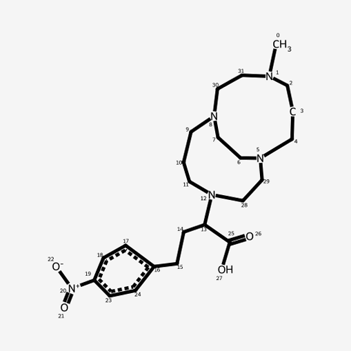 CN1CCCN2CCN(CCCN(C(CCc3ccc([N+](=O)[O-])cc3)C(=O)O)CC2)CC1